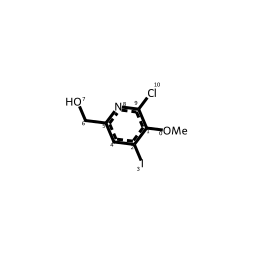 COc1c(I)cc(CO)nc1Cl